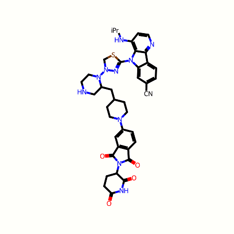 CC(C)Nc1ccnc2c3ccc(C#N)cc3n(C3=NN(N4CCNCC4CC4CCN(c5ccc6c(c5)C(=O)N(C5CCC(=O)NC5=O)C6=O)CC4)CS3)c12